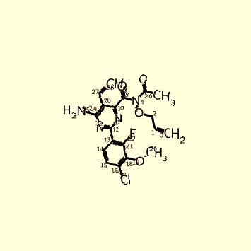 C=CCON(C(C)=O)C(=O)c1nc(-c2ccc(Cl)c(OC)c2F)nc(N)c1C=C